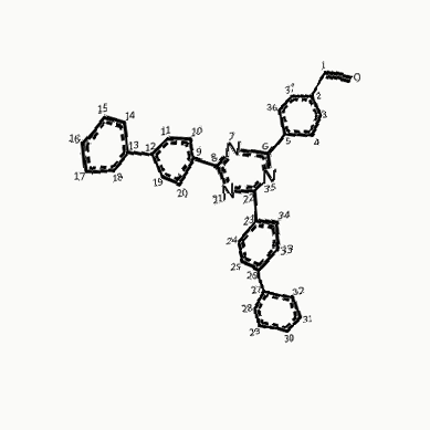 C=Cc1ccc(-c2nc(-c3ccc(-c4ccccc4)cc3)nc(-c3ccc(-c4ccccc4)cc3)n2)cc1